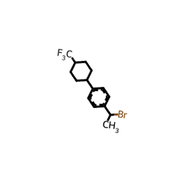 CC(Br)c1ccc(C2CCC(C(F)(F)F)CC2)cc1